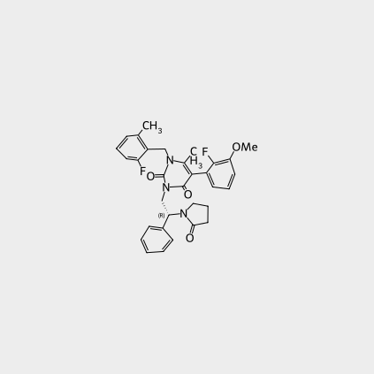 COc1cccc(-c2c(C)n(Cc3c(C)cccc3F)c(=O)n(C[C@@H](c3ccccc3)N3CCCC3=O)c2=O)c1F